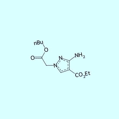 CCCCOC(=O)Cn1cc(C(=O)OCC)c(N)n1